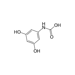 O=C(O)Nc1cc(O)cc(O)c1